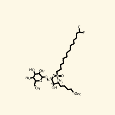 CCCCCCCCCCCCCCC[C@@H](O)[C@H](COC1OC(CO)C(O)C(O)C1O)N=S(C)(=O)CCCCCCCCCCCCCC(F)F